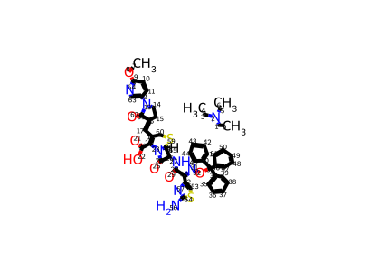 CCN(CC)CC.COc1ccc(N2CCC(=CC3=C(C(=O)O)N4C(=O)[C@@H](NC(=O)C(=NOC(c5ccccc5)(c5ccccc5)c5ccccc5)c5csc(N)n5)[C@H]4SC3)C2=O)cn1